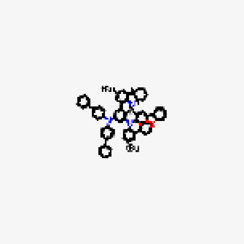 CC(C)(C)c1ccc(N2c3cc4oc5ccccc5c4cc3B3c4c(cc(N(c5ccc(-c6ccccc6)cc5)c5ccc(-c6ccccc6)cc5)cc42)-c2cc(C(C)(C)C)cc4c2N3C2(C)CCCCC42C)c(-c2ccccc2)c1